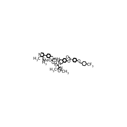 COC(=O)[C@H](Cc1ccc(-c2ccnc(C)c2C)cc1)NC(=O)[C@@H]1Cc2cc3c(cc2CN1C(=O)c1nc(C)oc1C)O[C@@H](c1ccc(OCC2CCC(C(F)(F)F)CC2)cc1)CO3